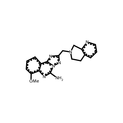 COc1cccc2c1nc(N)n1nc(CN3CCc4cccnc4C3)nc21